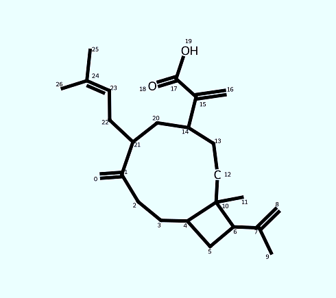 C=C1CCC2CC(C(=C)C)C2(C)CCC(C(=C)C(=O)O)CC1CC=C(C)C